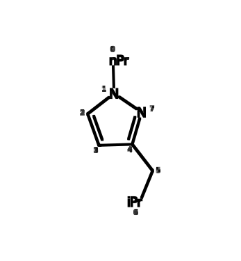 CCCn1ccc(CC(C)C)n1